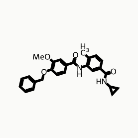 COc1cc(C(=O)Nc2cc(C(=O)NC3CC3)ccc2C)ccc1OCc1ccccc1